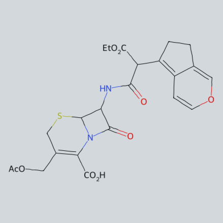 CCOC(=O)C(C(=O)NC1C(=O)N2C(C(=O)O)=C(COC(C)=O)CSC12)C1=C2C=COC=C2CC1